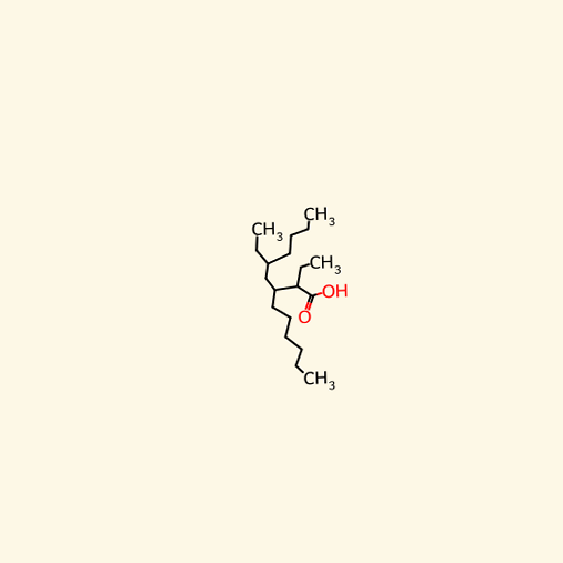 CCCCCCC(CC(CC)CCCC)C(CC)C(=O)O